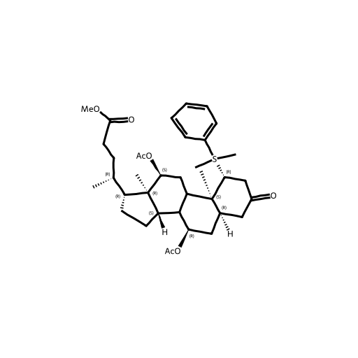 COC(=O)CC[C@@H](C)[C@H]1CC[C@H]2C3C(C[C@H](OC(C)=O)[C@]12C)[C@]1(C)[C@@H](CC(=O)C[C@H]1S(C)(C)c1ccccc1)C[C@H]3OC(C)=O